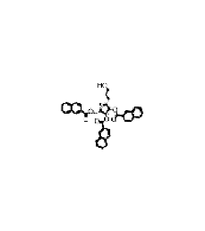 O=C(OC[C@@H]1S[C@H](CCCO)[C@H](OC(=O)c2ccc3ccccc3c2)[C@H]1OC(=O)c1ccc2ccccc2c1)c1ccc2ccccc2c1